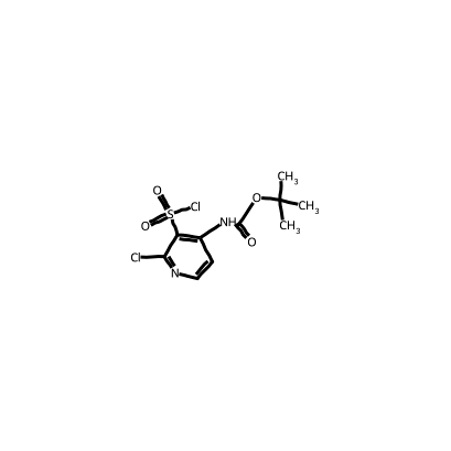 CC(C)(C)OC(=O)Nc1ccnc(Cl)c1S(=O)(=O)Cl